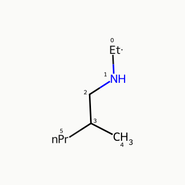 C[CH]NCC(C)CCC